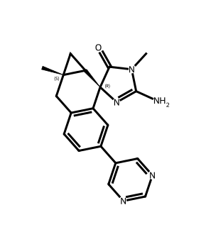 CN1C(=O)[C@]2(N=C1N)c1cc(-c3cncnc3)ccc1C[C@]1(C)CC12